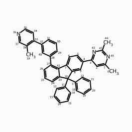 Cc1cc(-c2ccc3c(c2)C(c2ccccc2)(c2ccccc2)c2cccc(-c4cccc(-c5ccncc5C)c4)c2-3)nc(C)n1